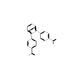 NC(=O)c1ccc(-c2c(-c3ccc(C(N)=O)cc3)c3ccc2cc3)cc1